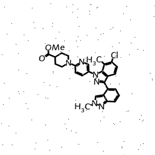 COC(=O)C1CCN(c2ccc(-n3nc(-c4cccc5nn(C)cc45)c4ccc(Cl)c(C)c43)cn2)CC1